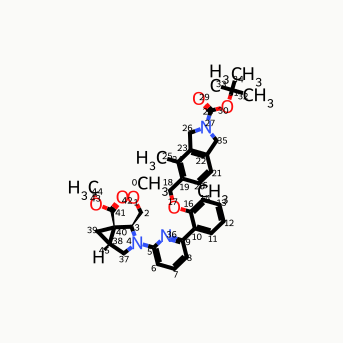 COC[C@H]1N(c2cccc(-c3cccc(C)c3OCc3ccc4c(c3C)CN(C(=O)OC(C)(C)C)C4)n2)C[C@@H]2C[C@@]21C(=O)OC